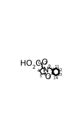 O=C(O)C(=O)C1CCC(=O)N1Cc1ccccc1